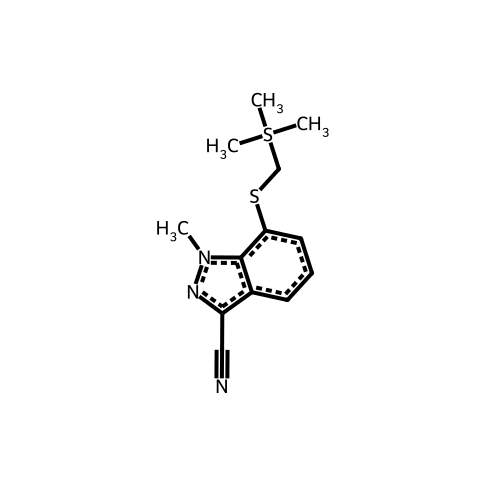 Cn1nc(C#N)c2cccc(SCS(C)(C)C)c21